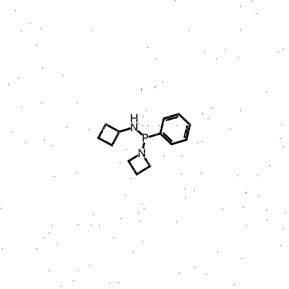 c1ccc(P(NC2CCC2)N2CCC2)cc1